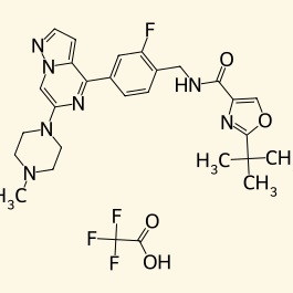 CN1CCN(c2cn3nccc3c(-c3ccc(CNC(=O)c4coc(C(C)(C)C)n4)c(F)c3)n2)CC1.O=C(O)C(F)(F)F